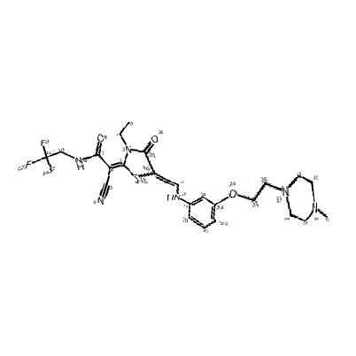 CCn1c(=C(C#N)C(=O)NCC(F)(F)F)sc(=CNc2cccc(OCCN3CCN(C)CC3)c2)c1=O